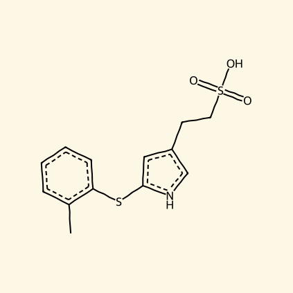 Cc1ccccc1Sc1cc(CCS(=O)(=O)O)c[nH]1